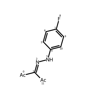 CC(=O)C(=NNc1ccc(F)cc1)C(C)=O